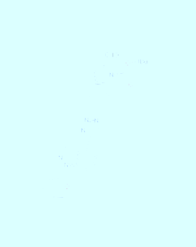 CC(C)(C)OC(=O)n1c(C=O)cc2ccc(Cn3cc(-c4cccc5c4cnn5C4CCCCO4)nn3)cc21